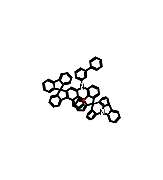 c1ccc(-c2cccc(N(c3cccc4c3-c3ccccc3C43c4ccccc4-n4c5ccccc5c5cccc3c54)c3cc4c(c5ccccc35)-c3ccccc3C43c4ccccc4-c4ccccc43)c2)cc1